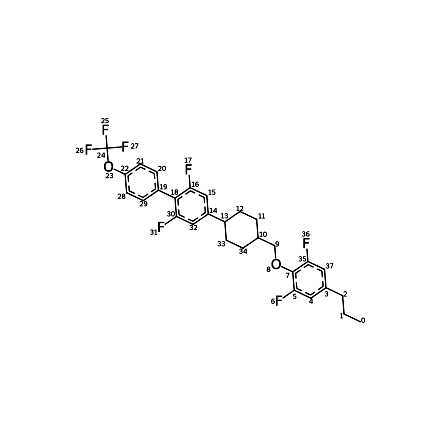 CCCc1cc(F)c(OCC2CCC(c3cc(F)c(-c4ccc(OC(F)(F)F)cc4)c(F)c3)CC2)c(F)c1